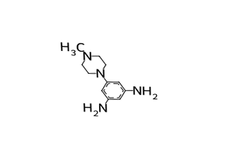 CN1CCN(c2cc(N)cc(N)c2)CC1